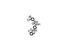 CN(C)c1ccc(NC(=O)N(S)c2ccc(NC(=O)c3c(F)cccc3F)cc2)cc1Cl